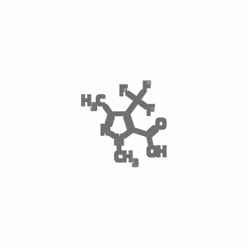 Cc1nn(C)c(C(=O)O)c1C(F)(F)F